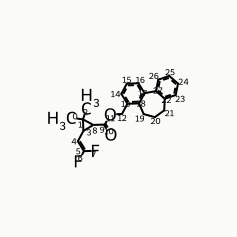 CC1(C)C(C=C(F)F)C1C(=O)OCc1cccc2c1CCCc1ccccc1-2